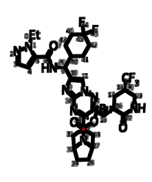 CCn1nccc1C(=O)N[C@H](c1cn2nc(C[C@H]3C[C@@H](C(F)(F)F)CNC3=O)c(N3CC4CCC(C3)N4C(=O)OC(C)(C)C)nc2n1)C1CCC(F)(F)CC1